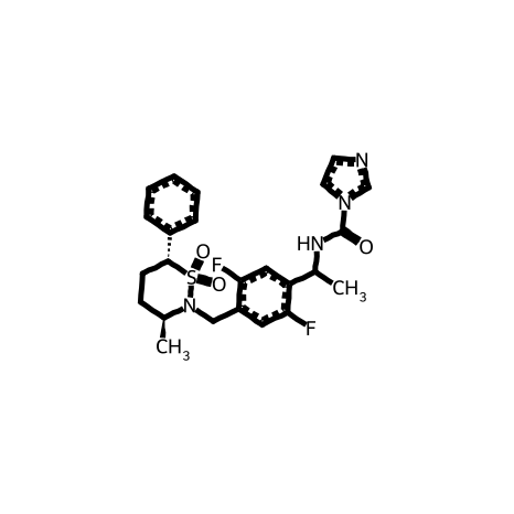 CC(NC(=O)n1ccnc1)c1cc(F)c(CN2[C@@H](C)CC[C@H](c3ccccc3)S2(=O)=O)cc1F